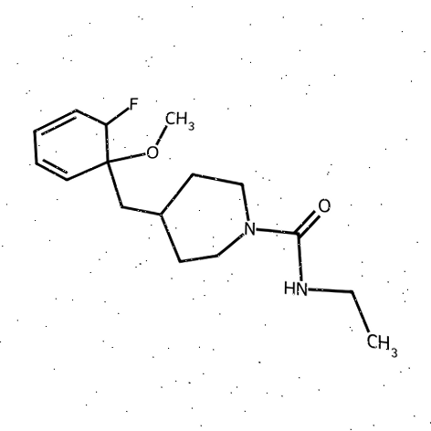 CCNC(=O)N1CCC(CC2(OC)C=CC=CC2F)CC1